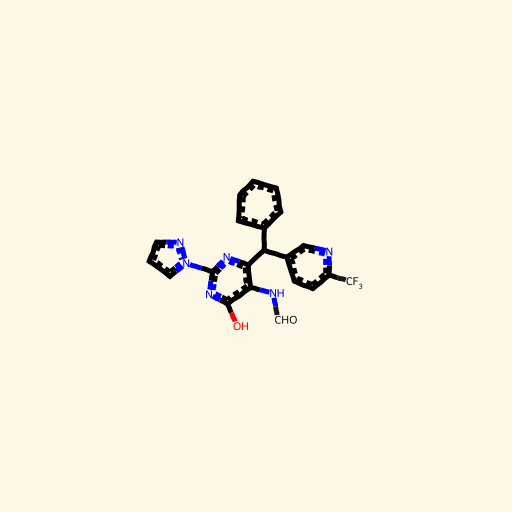 O=CNc1c(O)nc(-n2cccn2)nc1C(c1ccccc1)c1ccc(C(F)(F)F)nc1